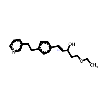 CCOCCC(O)/C=C/c1ccc(CCc2cccnc2)cc1